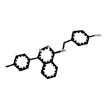 COc1ccc(CNc2nnc(-c3ccc(C)cc3)c3ccccc23)cc1